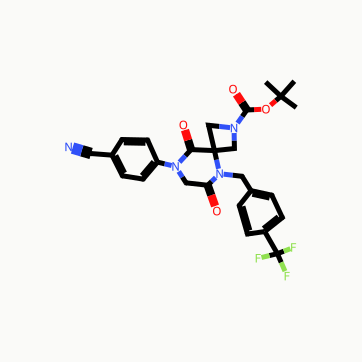 CC(C)(C)OC(=O)N1CC2(C1)C(=O)N(c1ccc(C#N)cc1)CC(=O)N2Cc1ccc(C(F)(F)F)cc1